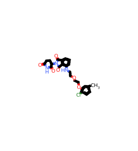 Cc1ccc(Cl)c(OCCOCCNc2cccc3c2C(=O)N(C2CCC(=O)NC2=O)C3=O)c1